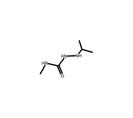 CNC(=O)NNC(C)C